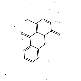 CC(C)C1=C2C(=O)c3ccccc3OC2C(=S)C=C1